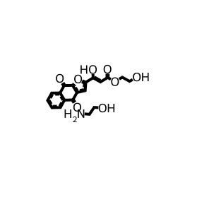 NCCO.O=C(C=C(O)c1cc2c(o1)C(=O)c1ccccc1C2=O)OCCO